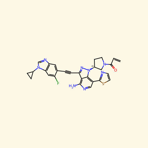 C=CC(=O)N1CC[C@H](n2nc(C#Cc3cc4ncn(C5CC5)c4cc3F)c3c(N)ncc(-c4nccs4)c32)C1